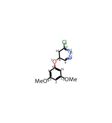 COc1cc(OC)cc(OC2C=NN=C(Cl)C2)c1